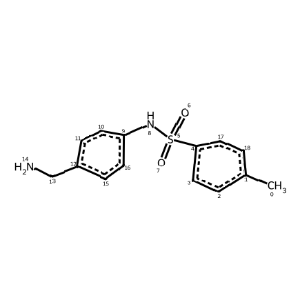 Cc1ccc(S(=O)(=O)Nc2ccc(CN)cc2)cc1